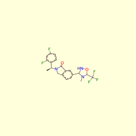 C[C@@H](c1ccc(F)cc1F)N1Cc2ccc(C3NOC(C(F)(F)F)N3C)cc2C1=O